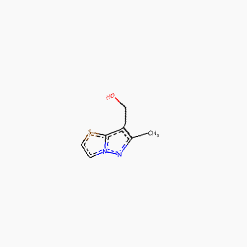 Cc1nn2ccsc2c1CO